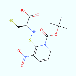 CC(C)(C)OC(=O)N1CC=CC([N+](=O)[O-])=C1SN[C@@H](CS)C(=O)O